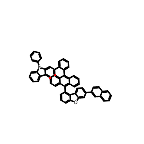 c1ccc(-n2c3ccccc3c3ccc(-c4ccccc4-c4c5ccccc5c(-c5cccc6oc7cc(-c8ccc9ccccc9c8)ccc7c56)c5ccccc45)cc32)cc1